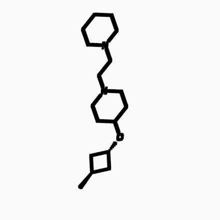 C[C@H]1C[C@H](OC2CCN(CCN3CCCCC3)CC2)C1